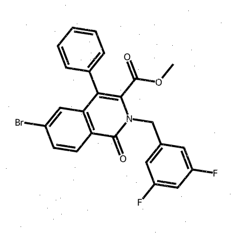 COC(=O)c1c(-c2ccccc2)c2cc(Br)ccc2c(=O)n1Cc1cc(F)cc(F)c1